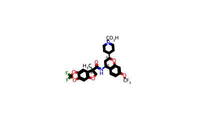 C[C@]1(C(=O)N[C@H]2C[C@@H](C3CCN(C(=O)O)CC3)Oc3cc(OC(F)(F)F)ccc32)COc2cc3c(cc21)OC(F)(F)O3